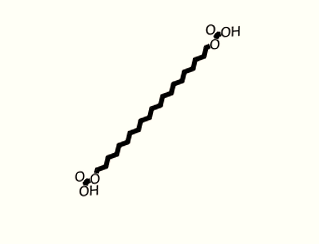 O=C(O)OCCCCCCCCCCCCCCCCCCCCCOC(=O)O